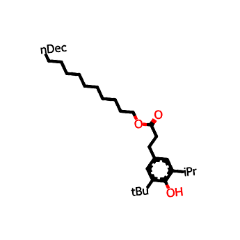 CCCCCCCCCCCCCCCCCCCCOC(=O)CCc1cc(C(C)C)c(O)c(C(C)(C)C)c1